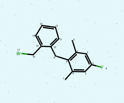 Cc1cc(F)cc(C)c1Cc1ccccc1CBr